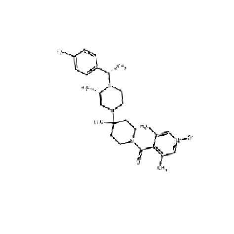 Cc1c[n+]([O-])cc(C)c1C(=O)N1CCC(C)(N2CCN([C@@H](C)c3ccc(C(F)(F)F)cc3)[C@@H](C)C2)CC1